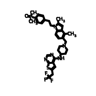 Cc1c(CN2CCC(Nc3ncnc4sc(CC(F)(F)F)cc34)CC2)ccc2c1cc(C)n2CCc1ccc(P(C)(C)=O)cc1